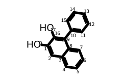 Oc1cc2ccccc2c(-c2ccccc2)c1O